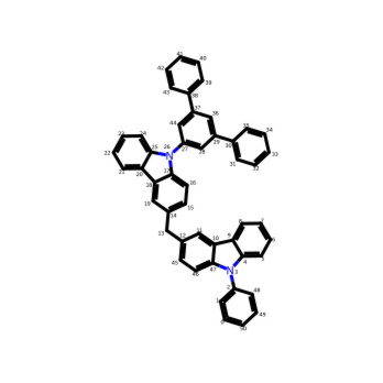 C1=C=C(n2c3ccccc3c3cc(Cc4ccc5c(c4)c4ccccc4n5-c4cc(-c5ccccc5)cc(-c5ccccc5)c4)ccc32)C=CC=1